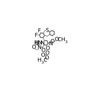 COCO/N=c1\cc(-c2cc(F)c(F)c3c2Cc2ccccc2SC3)n2c(c1OCOC(=O)OC)C(=O)N1CCOC[C@H]1N2